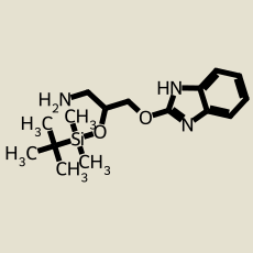 CC(C)(C)[Si](C)(C)OC(CN)COc1nc2ccccc2[nH]1